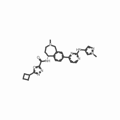 CN1CC[C@@H](NC(=O)c2nnc(C3CCC3)o2)c2ccc(-c3ccnc(Nc4cnn(C)c4)n3)cc2C1